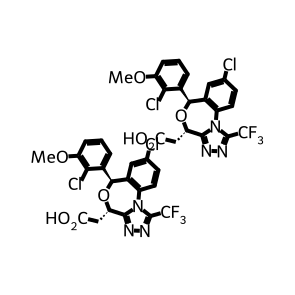 COc1cccc([C@@H]2O[C@@H](CC(=O)O)c3nnc(C(F)(F)F)n3-c3ccc(Cl)cc32)c1Cl.COc1cccc([C@@H]2O[C@@H](CC(=O)O)c3nnc(C(F)(F)F)n3-c3ccc(Cl)cc32)c1Cl